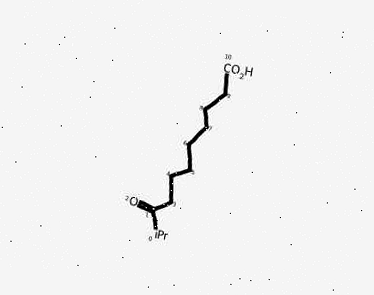 CC(C)C(=O)CCCCCCCC(=O)O